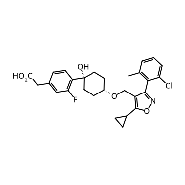 Cc1cccc(Cl)c1-c1noc(C2CC2)c1CO[C@H]1CC[C@](O)(c2ccc(CC(=O)O)cc2F)CC1